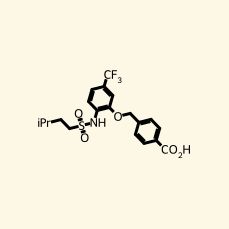 CC(C)CCS(=O)(=O)Nc1ccc(C(F)(F)F)cc1OCc1ccc(C(=O)O)cc1